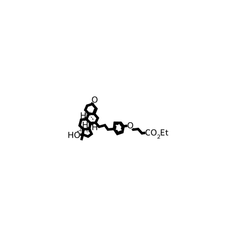 CCOC(=O)CCCOc1ccc(CCCC2CC3=CC(=O)CC[C@]3(C)[C@@H]3CC[C@@]4(C)[C@@H](CCC4(C)O)[C@H]23)cc1